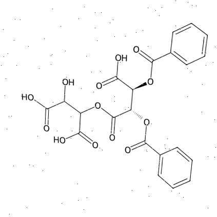 O=C(O[C@H](C(=O)O)[C@H](OC(=O)c1ccccc1)C(=O)OC(C(=O)O)C(O)C(=O)O)c1ccccc1